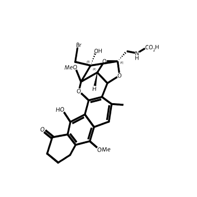 COc1c2c(c(O)c3c4c(c(C)cc13)C1O[C@]3(CNC(=O)O)O[C@H]1C(OC)(O4)[C@@]3(O)CBr)C(=O)CCC2